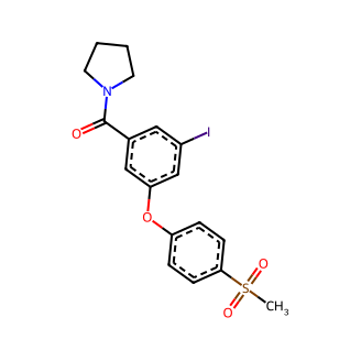 CS(=O)(=O)c1ccc(Oc2cc(I)cc(C(=O)N3CCCC3)c2)cc1